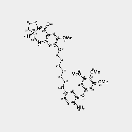 COc1cc2c(cc1OCCCCCCOc1ccc(N)c(Oc3cc(OC)c(OC)c(OC)c3)c1)N=C[C@@H]1CCCN1C2=O